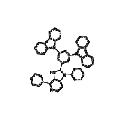 c1ccc(-c2nccc3c2NC(c2cc(-n4c5ccccc5c5ccccc54)cc(-n4c5ccccc5c5ccccc54)c2)N3c2ccccc2)cc1